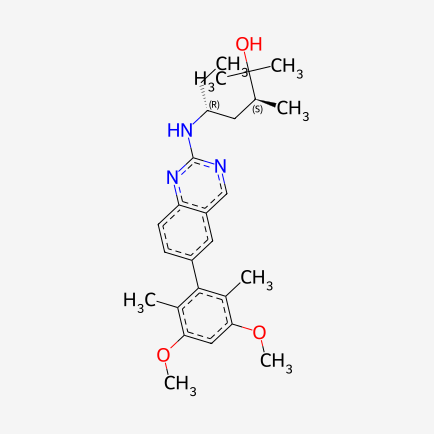 CC[C@H](C[C@H](C)C(C)(C)O)Nc1ncc2cc(-c3c(C)c(OC)cc(OC)c3C)ccc2n1